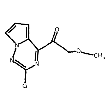 COCC(=O)c1nc(Cl)nn2cccc12